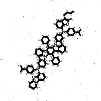 C=C/C=C\c1c(C)oc2c(N(c3ccc(C(C)C)cc3)c3ccc4c(c3)c3cccc5c6c(-c7ccccc7)c7c(c(-c8ccccc8)c6n4c35)c3cccc4c5cc(N(c6ccc(C(C)C)cc6)c6cccc8c6oc6ccccc68)ccc5n7c43)cccc12